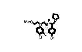 COCCN(CC(=O)N(C)C(CN1CCCC1)c1ccc(Br)cc1)c1ccc(Cl)c(Cl)c1